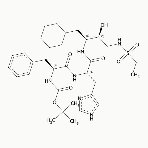 CCS(=O)(=O)NC[C@H](O)[C@H](CC1CCCCC1)NC(=O)[C@H](Cc1c[nH]cn1)NC(=O)[C@H](Cc1ccccc1)NC(=O)OC(C)(C)C